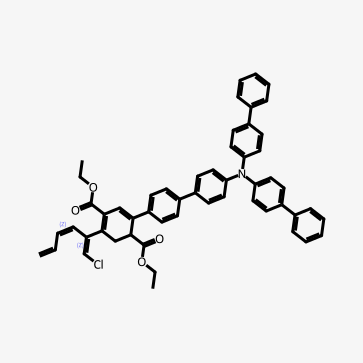 C=C/C=C\C(=C\Cl)C1=C(C(=O)OCC)C=C(c2ccc(-c3ccc(N(c4ccc(-c5ccccc5)cc4)c4ccc(-c5ccccc5)cc4)cc3)cc2)C(C(=O)OCC)C1